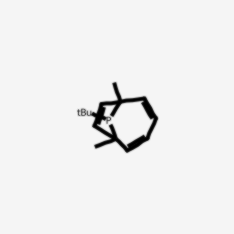 CC(C)(C)P1C2(C)C=CC=CC1(C)C=C2